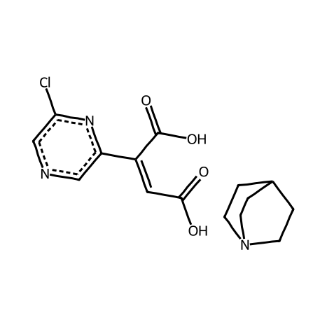 C1CN2CCC1CC2.O=C(O)/C=C(\C(=O)O)c1cncc(Cl)n1